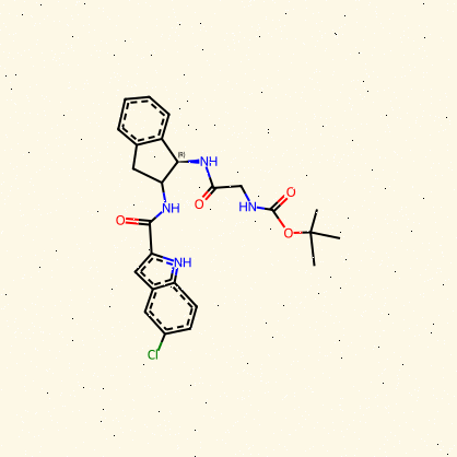 CC(C)(C)OC(=O)NCC(=O)N[C@@H]1c2ccccc2CC1NC(=O)c1cc2cc(Cl)ccc2[nH]1